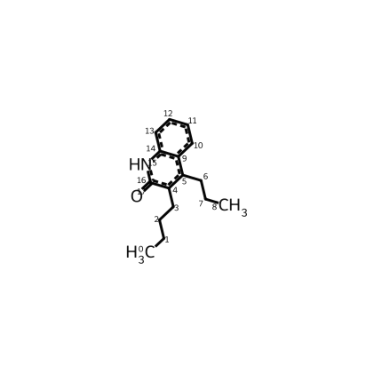 CCCCc1c(CCC)c2ccccc2[nH]c1=O